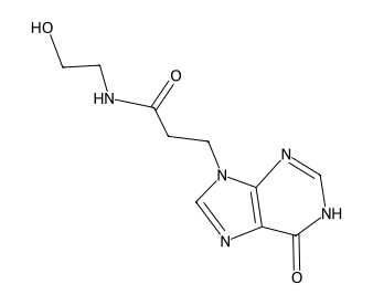 O=C(CCn1cnc2c(=O)[nH]cnc21)NCCO